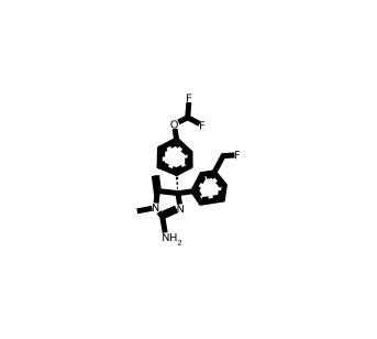 C=C1N(C)C(N)=N[C@]1(c1ccc(OC(F)F)cc1)c1cccc(CF)c1